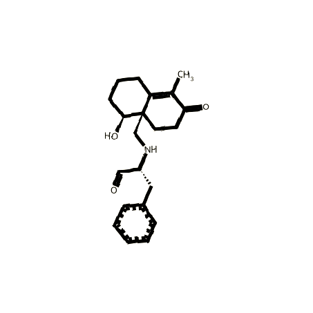 CC1=C2CCC[C@H](O)[C@@]2(CN[C@@H](C=O)Cc2ccccc2)CCC1=O